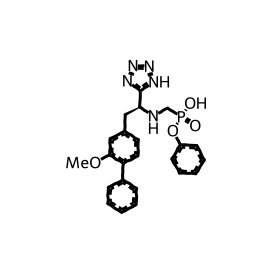 COc1cc(C[C@H](NCP(=O)(O)Oc2ccccc2)c2nnn[nH]2)ccc1-c1ccccc1